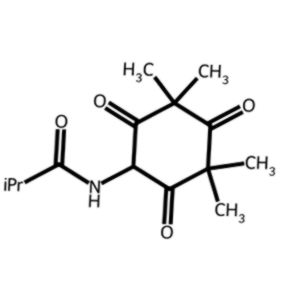 CC(C)C(=O)NC1C(=O)C(C)(C)C(=O)C(C)(C)C1=O